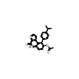 CC(=O)Oc1ccc2[nH]c(=O)c3sccc3c2c1-c1ccc(C(C)C)cc1